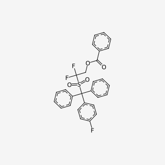 O=C(OCC(F)(F)S(=O)(=O)C(c1ccccc1)(c1ccccc1)c1ccc(F)cc1)c1ccccc1